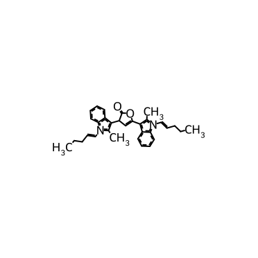 CCCC=Cn1c(C)c(C2=CC(c3c(C)n(C=CCCC)c4ccccc34)C(=O)O2)c2ccccc21